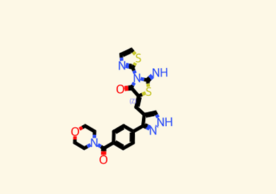 N=C1S/C(=C\c2c[nH]nc2-c2ccc(C(=O)N3CCOCC3)cc2)C(=O)N1c1nccs1